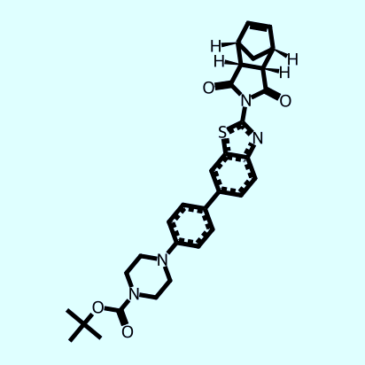 CC(C)(C)OC(=O)N1CCN(c2ccc(-c3ccc4nc(N5C(=O)[C@@H]6[C@H](C5=O)[C@@H]5C=C[C@H]6C5)sc4c3)cc2)CC1